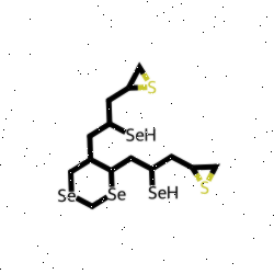 [SeH]C(CC1CS1)CC1C[Se]C[Se]C1CC([SeH])CC1CS1